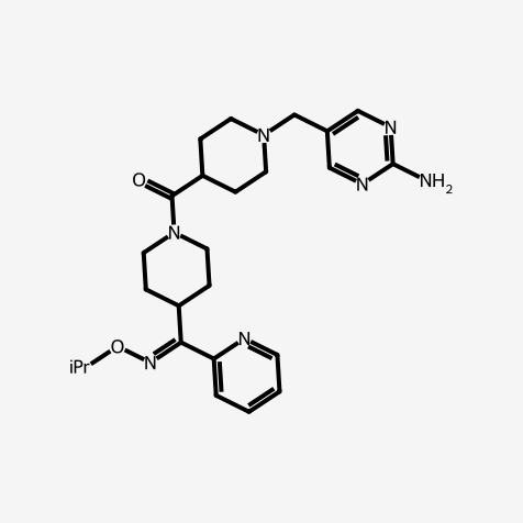 CC(C)ON=C(c1ccccn1)C1CCN(C(=O)C2CCN(Cc3cnc(N)nc3)CC2)CC1